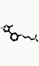 Cc1n[nH]cc1-c1c[c]cc(OCCCN(C)C)c1